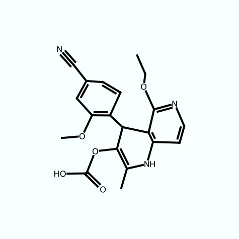 CCOc1nccc2c1C(c1ccc(C#N)cc1OC)C(OC(=O)O)=C(C)N2